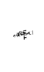 O=C(NCCc1ccc(Cl)cc1)c1ccc2c(c1)CCC(CCN1CCC(c3ccccc3)CC1)C2=O